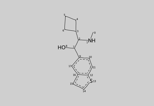 CNC(C1CCC1)C(O)c1ccc2sccc2c1